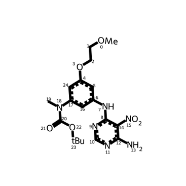 COCCOc1cc(Nc2ncnc(N)c2[N+](=O)[O-])cc(N(C)C(=O)OC(C)(C)C)c1